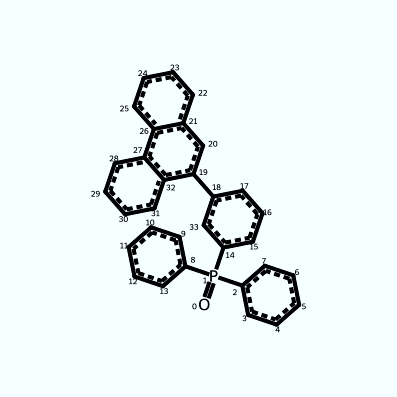 O=P(c1ccccc1)(c1ccccc1)c1cccc(-c2cc3ccccc3c3ccccc23)c1